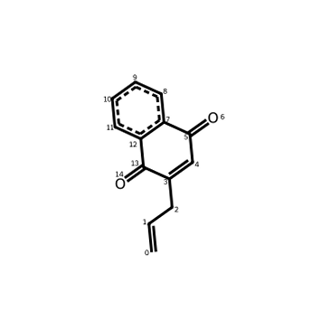 C=CCC1=CC(=O)c2ccccc2C1=O